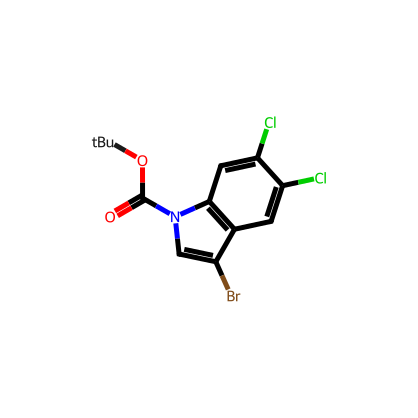 CC(C)(C)OC(=O)n1cc(Br)c2cc(Cl)c(Cl)cc21